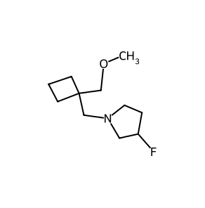 COCC1(CN2CCC(F)C2)CCC1